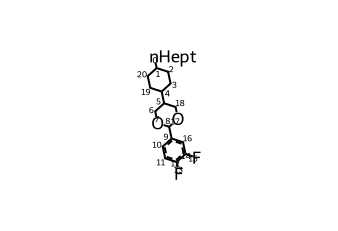 CCCCCCCC1CCC(C2COC(c3ccc(F)c(F)c3)OC2)CC1